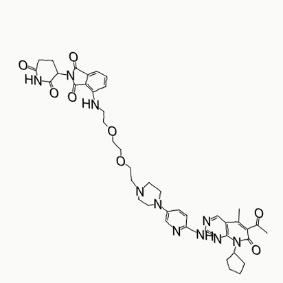 CC(=O)c1c(C)c2cnc(Nc3ccc(N4CCN(CCOCCOCCNc5cccc6c5C(=O)N(C5CCC(=O)NC5=O)C6=O)CC4)cn3)nc2n(C2CCCC2)c1=O